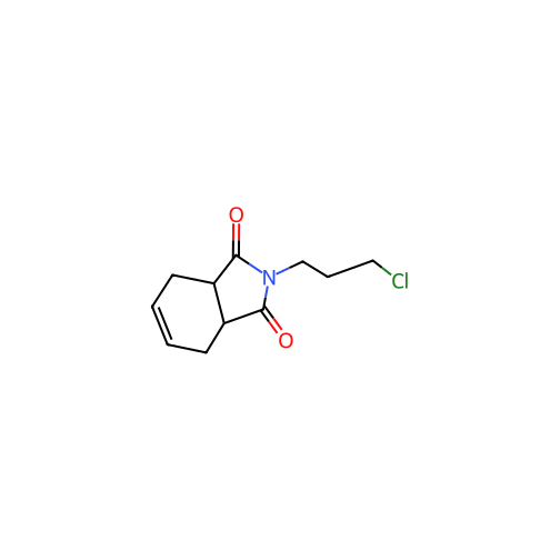 O=C1C2CC=CCC2C(=O)N1CCCCl